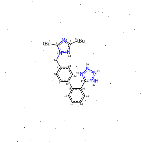 CC(C)(C)c1nc(C(C)(C)C)n(Cc2ccc(-c3ccccc3-c3nnn[nH]3)cc2)n1